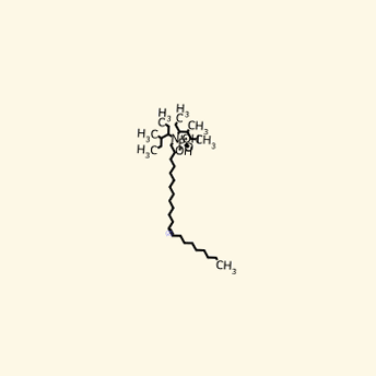 CCCCCCCC/C=C\CCCCCCCCCCCC[N+](C(CC)C(C)CC)(C(CC)C(C)CC)P(=O)(O)O